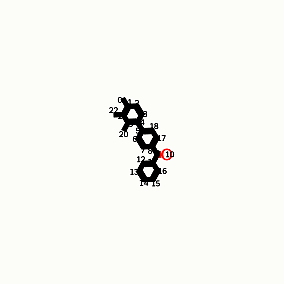 Cc1ccc(-c2ccc(C(=O)c3ccccc3)cc2)c(C)c1C